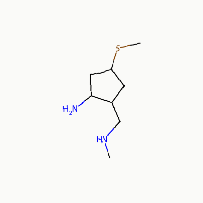 CNCC1CC(SC)CC1N